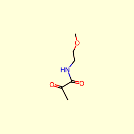 COCCNC(=O)C(C)=O